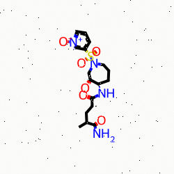 CC(C[CH]C(=O)N[C@H]1CCCN(S(=O)(=O)c2ccc[n+]([O-])c2)CC1=O)C(N)=O